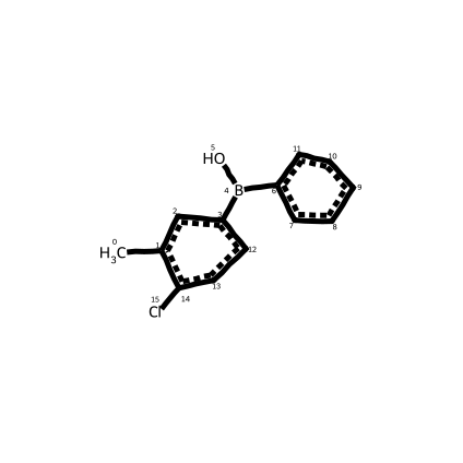 Cc1cc(B(O)c2ccccc2)ccc1Cl